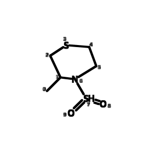 CC1CSCCN1[SH](=O)=O